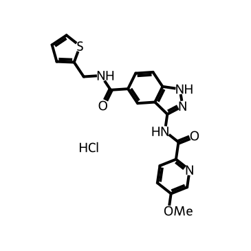 COc1ccc(C(=O)Nc2n[nH]c3ccc(C(=O)NCc4cccs4)cc23)nc1.Cl